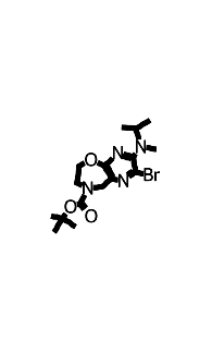 CC(C)N(C)c1nc2c(nc1Br)CN(C(=O)OC(C)(C)C)CCO2